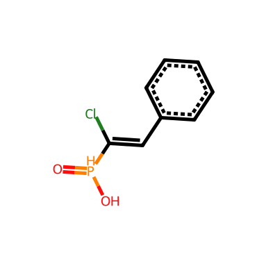 O=[PH](O)C(Cl)=Cc1ccccc1